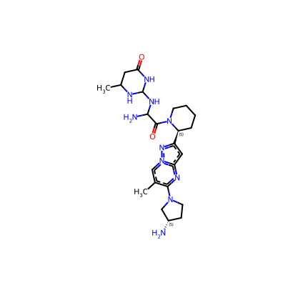 Cc1cn2nc([C@@H]3CCCCN3C(=O)C(N)NC3NC(=O)CC(C)N3)cc2nc1N1CC[C@H](N)C1